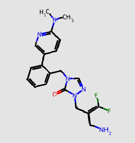 CN(C)c1ccc(-c2ccccc2Cn2cnn(CC(CN)=C(F)F)c2=O)cn1